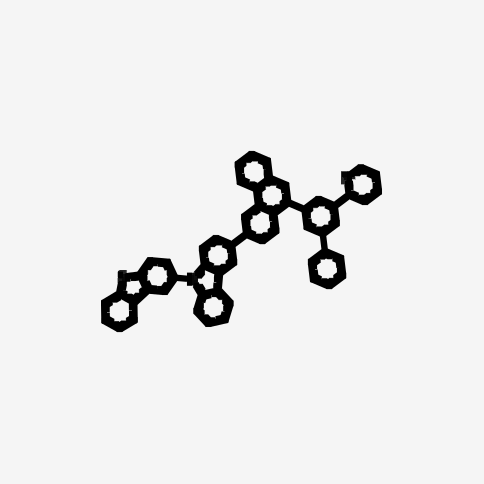 c1ccc(-c2cc(-c3ccccn3)cc(-c3cc4ccccc4c4cc(-c5ccc6c(c5)c5ccccc5n6-c5ccc6sc7ccccc7c6c5)ccc34)c2)cc1